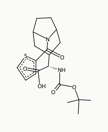 CC(C)(C)OC(=O)N[C@H](C(=O)O)C1CC2CCC(C1)N2C(=O)c1cccs1